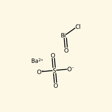 O=S(=O)([O-])[O-].[Ba+2].[O]=[Bi][Cl]